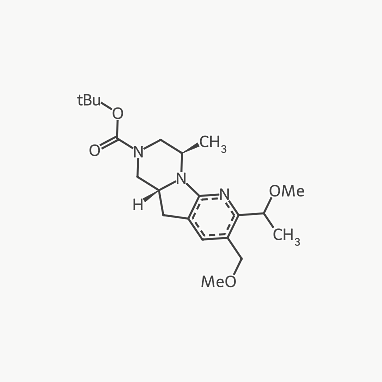 COCc1cc2c(nc1C(C)OC)N1[C@H](C2)CN(C(=O)OC(C)(C)C)C[C@H]1C